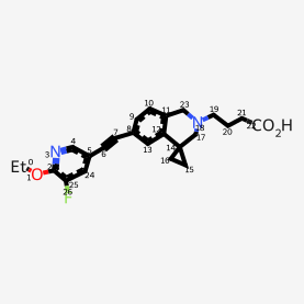 CCOc1ncc(C#Cc2ccc3c(c2)C2(CC2)CN(CCCC(=O)O)C3)cc1F